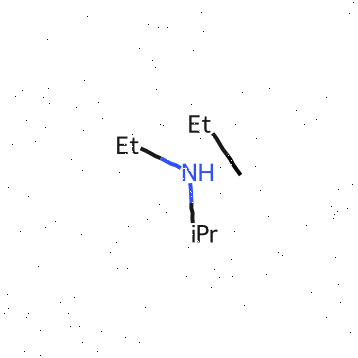 CCC.CCNC(C)C